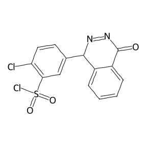 O=C1N=NC(c2ccc(Cl)c(S(=O)(=O)Cl)c2)c2ccccc21